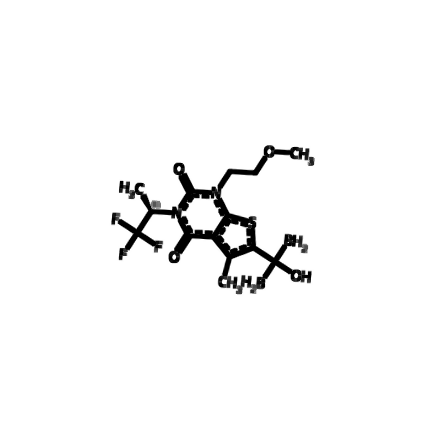 BC(B)(O)c1sc2c(c1C)c(=O)n([C@H](C)C(F)(F)F)c(=O)n2CCOC